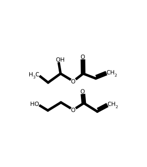 C=CC(=O)OC(O)CC.C=CC(=O)OCCO